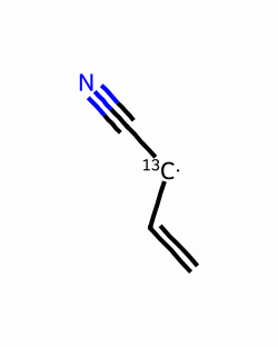 C=C[13CH]C#N